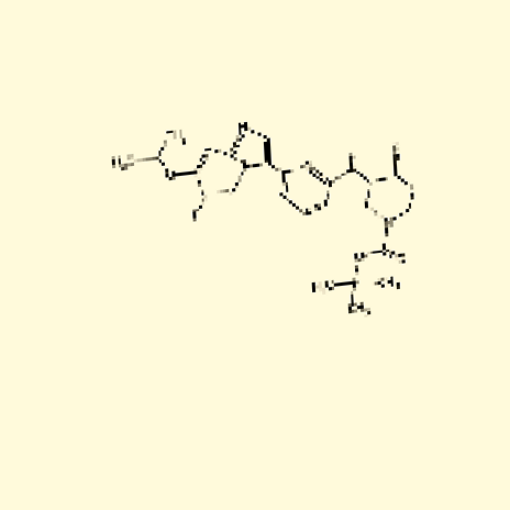 CC(C)Oc1cc2ncc(-c3cccc(NC4CN(C(=O)OC(C)(C)C)CC[C@@H]4F)n3)n2cc1F